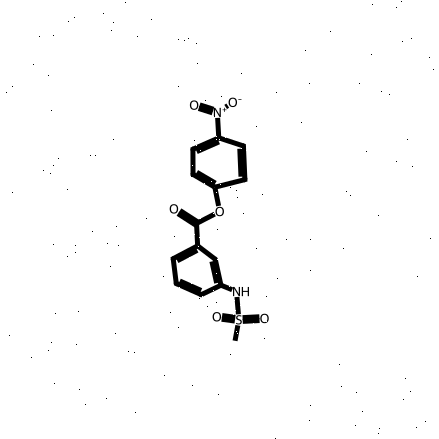 CS(=O)(=O)Nc1cccc(C(=O)Oc2ccc([N+](=O)[O-])cc2)c1